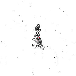 CC(C)(C)OC(=O)N[C@H](CF)[C@H]1CC[C@H](C(=O)[N+]2(c3ccc(C(=O)NS(=O)(=O)c4ccccc4)cc3)CC[C@@H](C3CCCCC3)[C@H]2C(N)=O)CC1